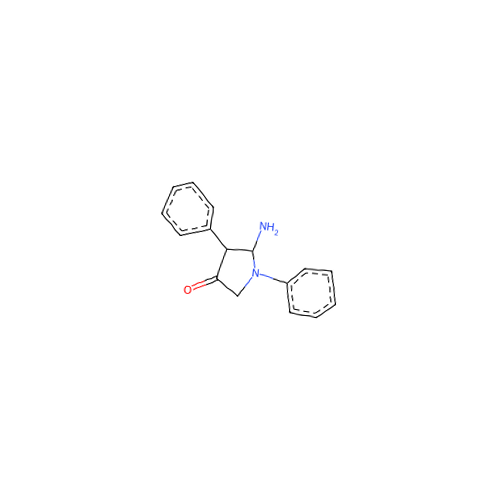 NC1C(c2ccccc2)C(=O)CN1c1ccccc1